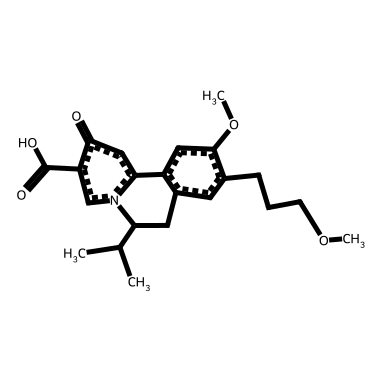 COCCCc1cc2c(cc1OC)-c1cc(=O)c(C(=O)O)cn1C(C(C)C)C2